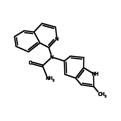 Cc1cc2cc(N(C(N)=O)c3nccc4ccccc34)ccc2[nH]1